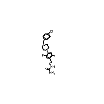 NC(=S)NN=Cc1cc(F)c(N2CCN(Cc3ccc(Cl)cc3)CC2)cc1F